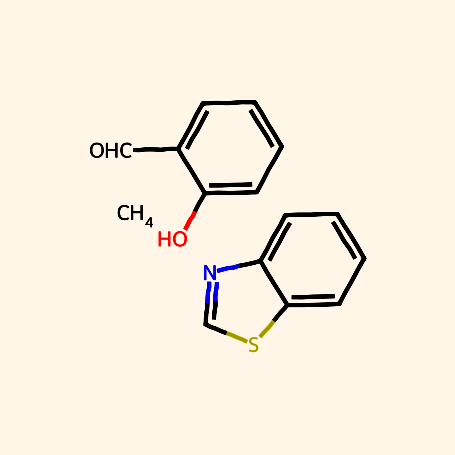 C.O=Cc1ccccc1O.c1ccc2scnc2c1